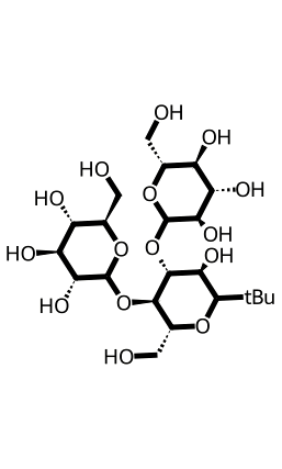 CC(C)(C)C1O[C@H](CO)[C@@H](OC2O[C@H](CO)[C@@H](O)[C@H](O)[C@H]2O)[C@H](OC2O[C@H](CO)[C@@H](O)[C@H](O)[C@H]2O)[C@H]1O